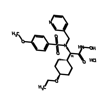 CCO[C@H]1CC[C@H]([C@H](C(=O)NO)N(Cc2cccnc2)S(=O)(=O)c2ccc(OC)cc2)CC1.Cl